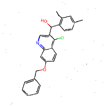 Cc1ccc(C(O)c2cnc3cc(OCc4ccccc4)ccc3c2Cl)c(C)c1